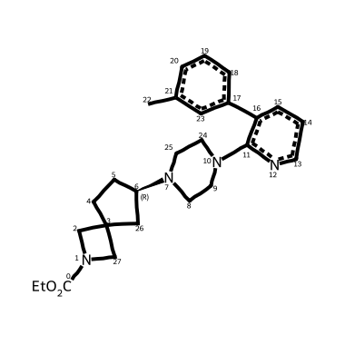 CCOC(=O)N1CC2(CC[C@@H](N3CCN(c4ncccc4-c4cccc(C)c4)CC3)C2)C1